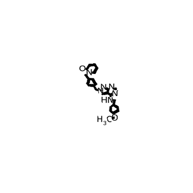 COc1ccc(CNc2ncnc3nn(Cc4ccc(Cn5ccccc5=O)cc4)cc23)cc1